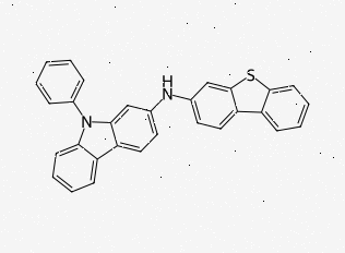 c1ccc(-n2c3ccccc3c3ccc(Nc4ccc5c(c4)sc4ccccc45)cc32)cc1